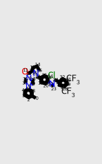 Cc1cccc(N2CCN(C(=O)C3CCCN3Cc3ccc(N(C)Cc4cc(C(F)(F)F)cc(C(F)(F)F)c4)c(Cl)c3)CC2)c1